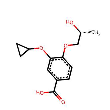 C[C@@H](O)COc1ccc(C(=O)O)cc1OC1CC1